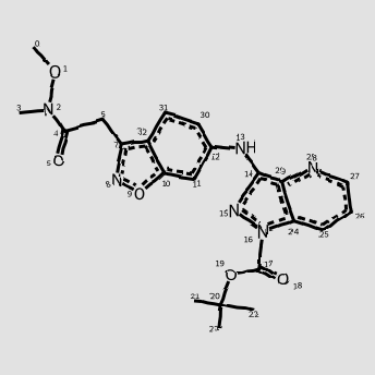 CON(C)C(=O)Cc1noc2cc(Nc3nn(C(=O)OC(C)(C)C)c4cccnc34)ccc12